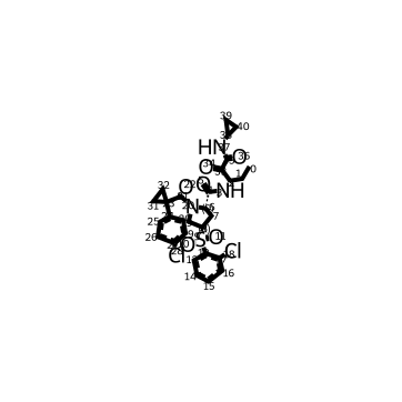 CCC(NC(=O)[C@@H]1C[C@@H](S(=O)(=O)c2ccccc2Cl)CN1C(=O)C1(c2ccc(Cl)cc2)CC1)C(=O)C(=O)NC1CC1